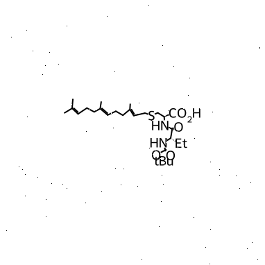 CC[C@H](NC(=O)OC(C)(C)C)C(=O)N[C@@H](CSC/C=C(\C)CC/C=C(\C)CCC=C(C)C)C(=O)O